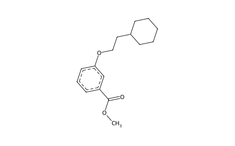 COC(=O)c1cccc(OCCC2CCCCC2)c1